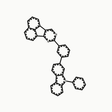 c1ccc(-n2c3ccccc3c3ccc(-c4cccc(-c5ncc6c(n5)-c5cccc7cccc-6c57)c4)cc32)cc1